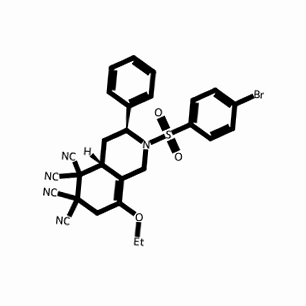 CCOC1=C2CN(S(=O)(=O)c3ccc(Br)cc3)[C@H](c3ccccc3)C[C@H]2C(C#N)(C#N)C(C#N)(C#N)C1